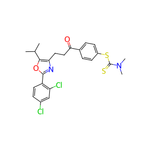 CC(C)c1oc(-c2ccc(Cl)cc2Cl)nc1CCC(=O)c1ccc(SC(=S)N(C)C)cc1